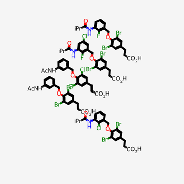 CC(=O)Nc1cccc(COc2c(Br)cc(CCC(=O)O)cc2Br)c1.CC(=O)Nc1cccc(COc2c(Cl)cc(CCC(=O)O)cc2Cl)c1.CC(C)C(=O)Nc1cc(Cl)cc(COc2c(Br)cc(CCC(=O)O)cc2Br)c1F.CC(C)C(=O)Nc1cccc(COc2c(Br)cc(CCC(=O)O)cc2Br)c1Cl.CC(C)C(=O)Nc1cccc(COc2c(Br)cc(CCC(=O)O)cc2Br)c1F